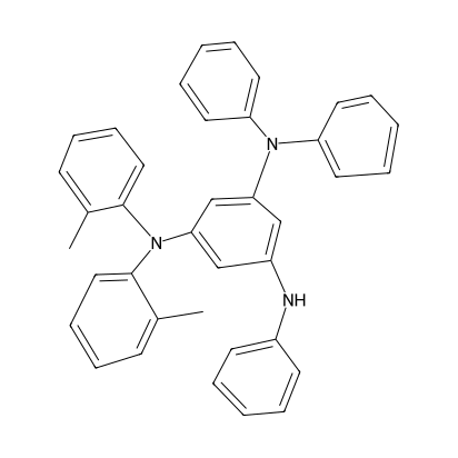 Cc1ccccc1N(c1cc(Nc2ccccc2)cc(N(c2ccccc2)c2ccccc2)c1)c1ccccc1C